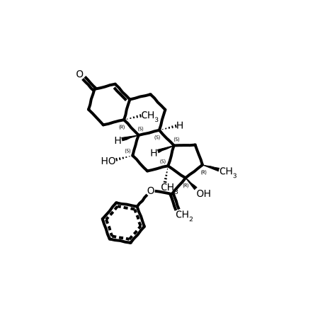 C=C(Oc1ccccc1)[C@@]1(O)[C@H](C)C[C@H]2[C@@H]3CCC4=CC(=O)CC[C@]4(C)[C@H]3[C@@H](O)C[C@@]21C